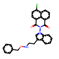 O=C1c2cccc3c(Br)ccc(c23)C(=O)N1n1cc(CCNOCc2ccccc2)c2ccccc21